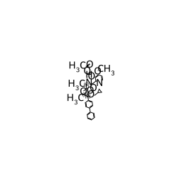 COc1ccnc(C(=O)N[C@@H](C)C(=O)O[C@@H](C)[C@H](OCC2CC2)c2ccc(-c3ccccc3)cc2)c1OCOC(C)=O